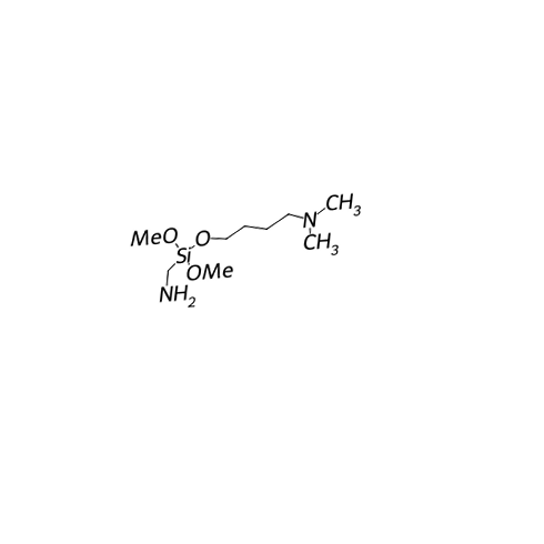 CO[Si](CN)(OC)OCCCCN(C)C